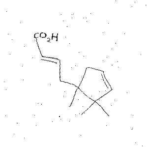 CC1(C)C=CCC1(C)C/C=C/C(=O)O